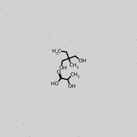 CC(O)C(=O)O.CCC(C)(CO)CO